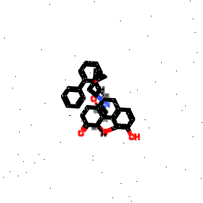 O=C1CC[C@@]2(OCc3ccccc3-c3ccccc3)[C@H]3Cc4ccc(O)c5c4[C@@]2(CCN3CC2CC2)[C@H]1O5